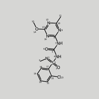 CN=S(=O)(NC(=O)Nc1nc(C)nc(OC)n1)c1ccccc1Cl